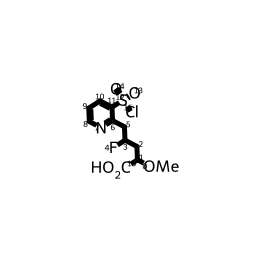 COC(CC(F)Cc1ncccc1S(=O)(=O)Cl)C(=O)O